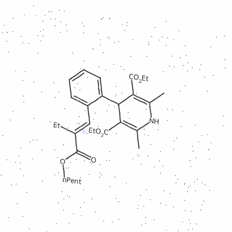 CCCCCOC(=O)/C(=C/c1ccccc1C1C(C(=O)OCC)=C(C)NC(C)=C1C(=O)OCC)CC